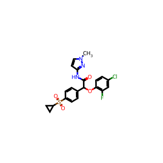 Cn1ccc(NC(=O)C(Oc2ccc(Cl)cc2F)c2ccc(S(=O)(=O)C3CC3)cc2)n1